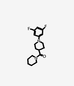 O=C(C1CCN(c2cc(F)cc(F)c2)CC1)N1CCCCC1